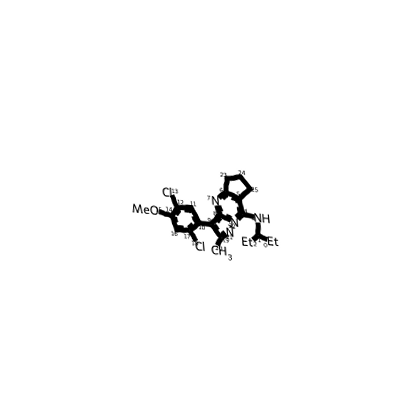 CCC(CC)Nc1c2c(nc3c(-c4cc(Cl)c(OC)cc4Cl)c(C)nn13)CCC2